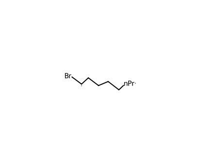 CC[CH]CCCC[CH]Br